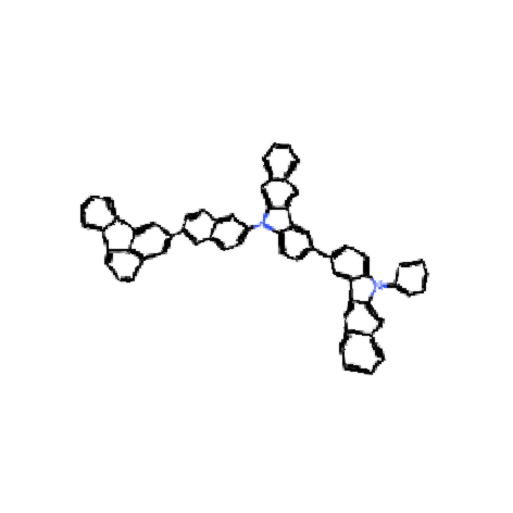 c1ccc(-n2c3ccc(-c4ccc5c(c4)c4cc6ccccc6cc4n5-c4ccc5cc(-c6cc7c8c(cccc8c6)-c6ccccc6-7)ccc5c4)cc3c3cc4ccccc4cc32)cc1